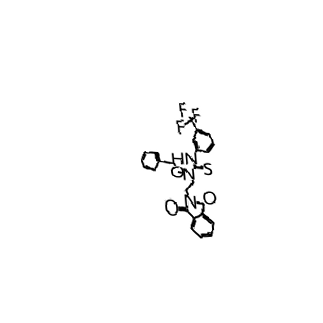 O=C1c2ccccc2C(=O)N1CCN(OCc1ccccc1)C(=S)Nc1cccc(C(F)(F)F)c1